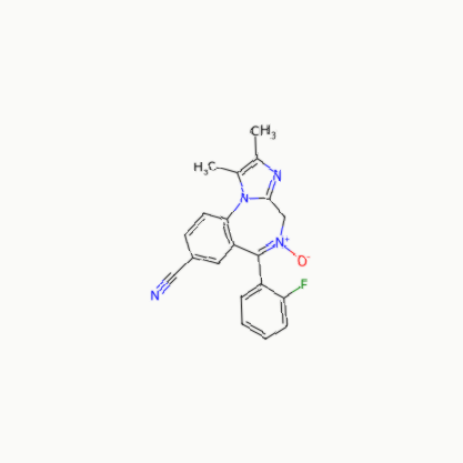 Cc1nc2n(c1C)-c1ccc(C#N)cc1C(c1ccccc1F)=[N+]([O-])C2